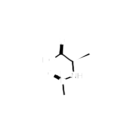 C[C@@H](N[PH](C)=O)C(=O)O